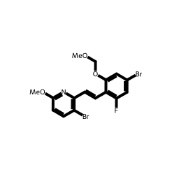 COCOc1cc(Br)cc(F)c1/C=C/c1nc(OC)ccc1Br